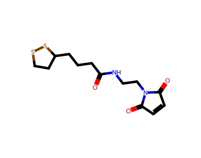 O=C(CCCC1CCSS1)NCCN1C(=O)C=CC1=O